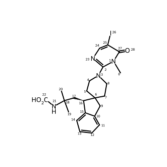 Cn1c(N2CCC3(CC2)Cc2ccccc2[C@H]3CC(C)(C)NC(=O)O)ncc(I)c1=O